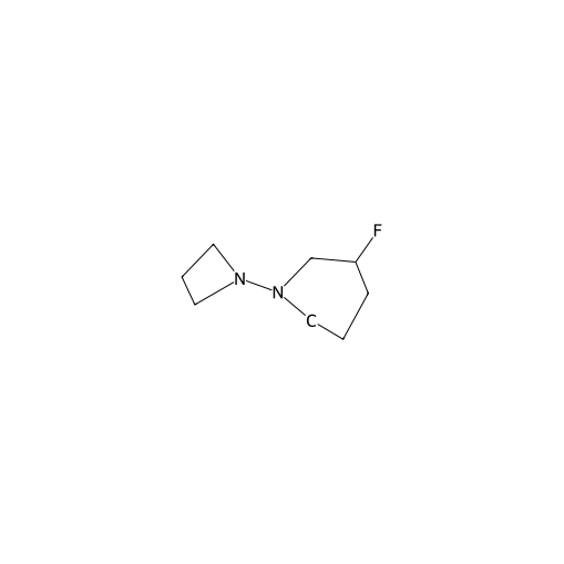 FC1CCCN(N2CCC2)C1